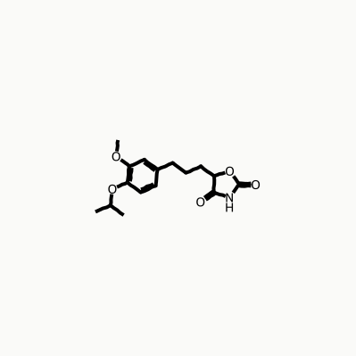 COc1cc(CCCC2OC(=O)NC2=O)ccc1OC(C)C